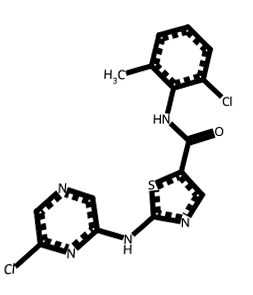 Cc1cccc(Cl)c1NC(=O)c1cnc(Nc2cncc(Cl)n2)s1